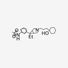 CCC1(c2cccc(NS(C)(=O)=O)c2)C2CN(CCCC3(O)CCCCC3)CC21